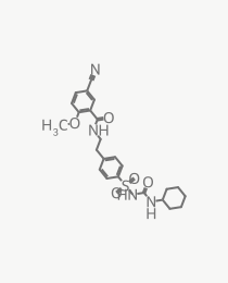 COc1ccc(C#N)cc1C(=O)NCCc1ccc(S(=O)(=O)NC(=O)NC2CCCCC2)cc1